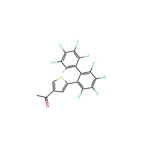 CC(=O)c1csc(-c2c(F)c(F)c(F)c(F)c2-c2c(F)c(F)c(F)c(F)c2F)c1